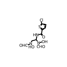 O=CN(O)CC(NC(=O)c1ccc(Cl)s1)N(O)C=O